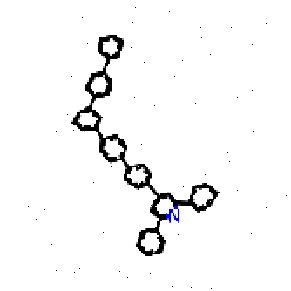 c1ccc(-c2ccc(-c3cccc(-c4ccc(-c5ccc(-c6cc(-c7ccccc7)nc(-c7ccccc7)c6)cc5)cc4)c3)cc2)cc1